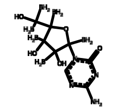 BC(B)(O)C1(B)OC(B)(n2cnc(N)nc2=O)C(B)(O)C1(B)O